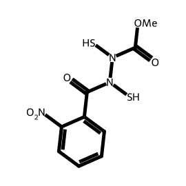 COC(=O)N(S)N(S)C(=O)c1ccccc1[N+](=O)[O-]